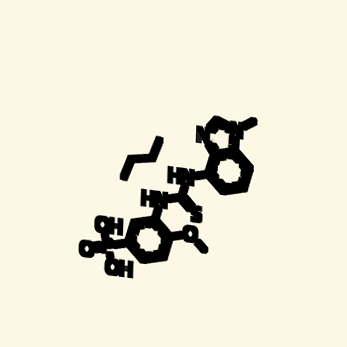 CCCC.COc1ccc(P(=O)(O)O)cc1NC(=S)Nc1cccc2c1ncn2C